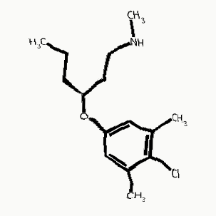 CCC[C@@H](CCNC)Oc1cc(C)c(Cl)c(C)c1